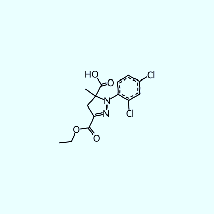 CCOC(=O)C1=NN(c2ccc(Cl)cc2Cl)C(C)(C(=O)O)C1